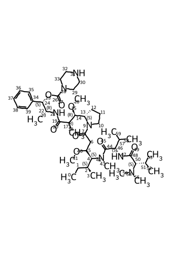 CC[C@H](C)[C@@H](C(CC(=O)N1CCC[C@H]1[C@H](OC)[C@@H](C)C(=O)N[C@H](C)[C@@H](OC(=O)N1CCNCC1)c1ccccc1)OC)N(C)C(=O)[C@@H](NC(=O)[C@H](C(C)C)N(C)C)C(C)C